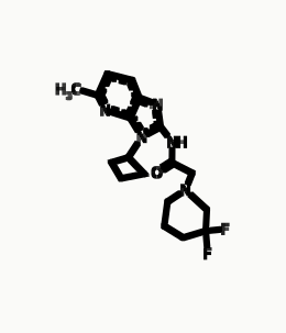 Cc1ccc2nc(NC(=O)CN3CCCC(F)(F)C3)n(C3CCC3)c2n1